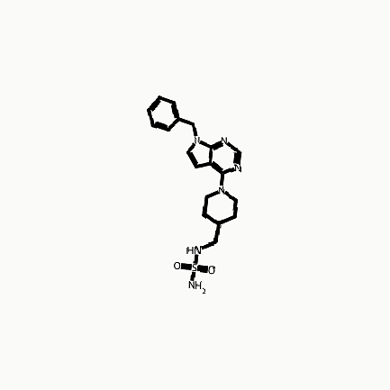 NS(=O)(=O)NCC1CCN(c2ncnc3c2ccn3Cc2ccccc2)CC1